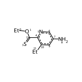 CCOC(=S)c1ncc(N)cc1CC